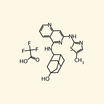 Cc1cnc(Nc2cc3ncccc3c(NC3C4CC5CC3CC(O)(C5)C4)n2)s1.O=C(O)C(F)(F)F